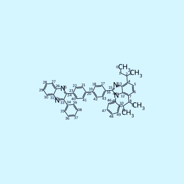 CCC(C)c1ccc(C(C)CC)c2c1nc(-c1ccc(-c3ccc(-c4nc5ccccc5nc4-c4ccccc4)cc3)cc1)n2-c1ccccc1